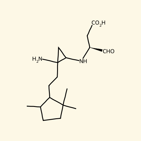 CC1CCC(C)(C)C1CCC1(N)CC1N[C@H](C=O)CC(=O)O